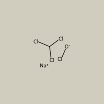 ClC(Cl)Cl.[Na+].[O-]Cl